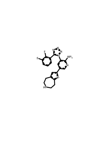 Nc1ncc(-c2cc3c(s2)CCNCC3)cc1-n1nnnc1-c1cccc(F)c1F